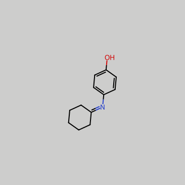 Oc1ccc(N=C2CCCCC2)cc1